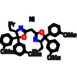 COc1cccc(C2(c3cccc(OC)c3)OC(CC3=N[C@H](CC(C)C)C(c4cccc(OC)c4)(c4cccc(OC)c4)O3)=N[C@@H]2CC(C)C)c1.[Ni]